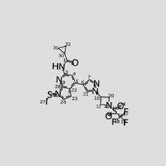 O=C(Nc1cc(-c2cnn(C3CN(S(=O)(=O)C(F)(F)F)C3)c2)c2ccn(SI)c2n1)C1CC1